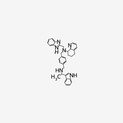 CC(NCc1ccc(CN(Cc2nc3ccccc3[nH]2)C2CCCc3cccnc32)cc1)c1c[nH]c2ccccc12